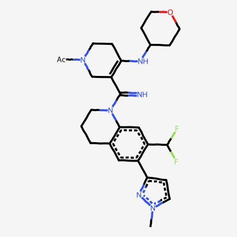 CC(=O)N1CCC(NC2CCOCC2)=C(C(=N)N2CCCc3cc(-c4ccn(C)n4)c(C(F)F)cc32)C1